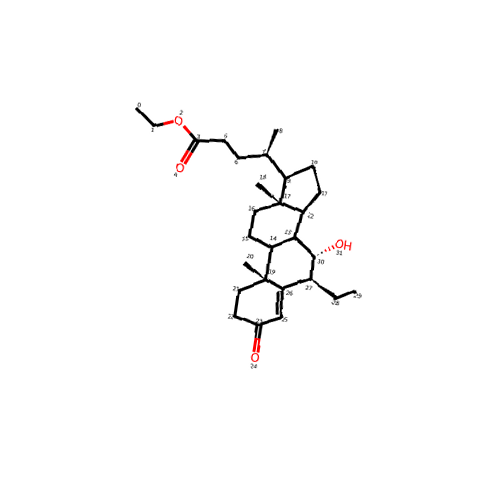 CCOC(=O)CC[C@@H](C)C1CCC2C3C(CC[C@@]21C)[C@@]1(C)CCC(=O)C=C1[C@H](CC)[C@H]3O